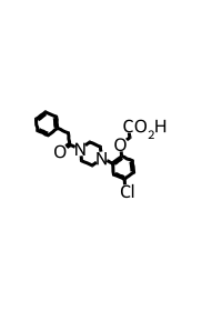 O=C(O)COc1ccc(Cl)cc1N1CCN(C(=O)Cc2ccccc2)CC1